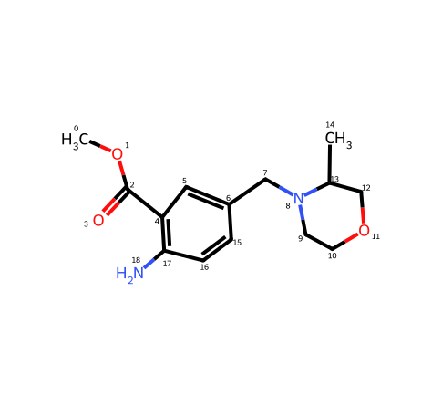 COC(=O)c1cc(CN2CCOCC2C)ccc1N